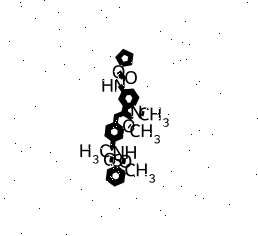 COc1cc(C(C)NS(=O)(=O)c2ccccc2C)ccc1Cc1cn(C)c2ccc(NC(=O)OC3CCCC3)cc12